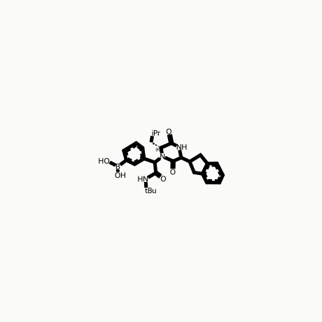 CC(C)C[C@@H]1C(=O)NC(C2Cc3ccccc3C2)C(=O)N1C(C(=O)NC(C)(C)C)c1cccc(B(O)O)c1